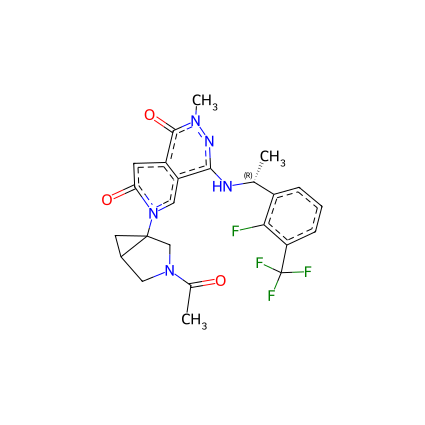 CC(=O)N1CC2CC2(n2cc3c(N[C@H](C)c4cccc(C(F)(F)F)c4F)nn(C)c(=O)c3cc2=O)C1